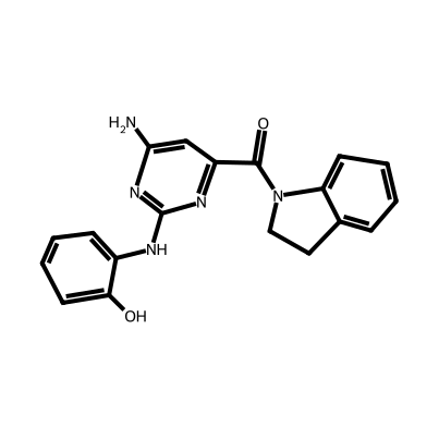 Nc1cc(C(=O)N2CCc3ccccc32)nc(Nc2ccccc2O)n1